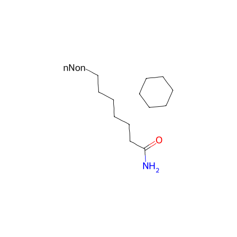 C1CCCCC1.CCCCCCCCCCCCCCCC(N)=O